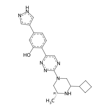 C[C@@H]1CN(c2ncc(-c3ccc(-c4cn[nH]c4)cc3O)nn2)CC(C2CCC2)N1